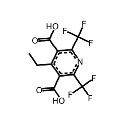 CCc1c(C(=O)O)c(C(F)(F)F)nc(C(F)(F)F)c1C(=O)O